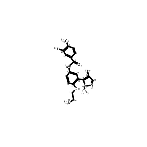 Cc1ccc(C(=O)Nc2ccc(OCCN)c(-c3c(Cl)cnn3C)c2)cc1F